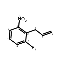 C=CCc1c(F)cccc1[N+](=O)[O-]